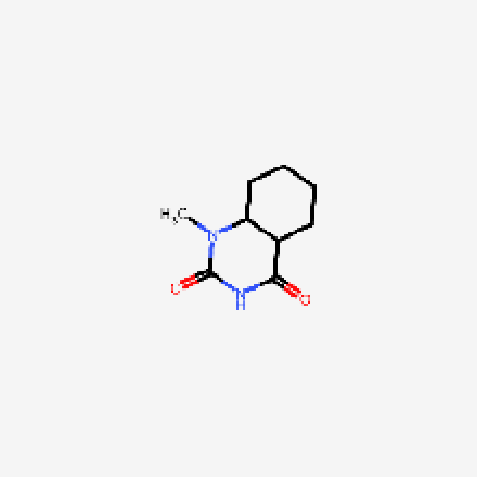 CN1C(=O)NC(=O)C2CCCCC21